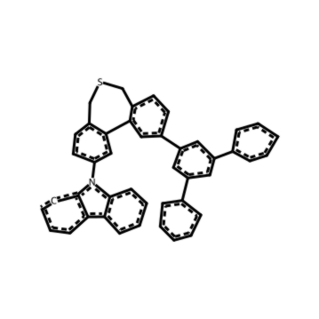 c1ccc(-c2cc(-c3ccccc3)cc(-c3ccc4c(c3)-c3cc(-n5c6ccccc6c6ccccc65)ccc3CSC4)c2)cc1